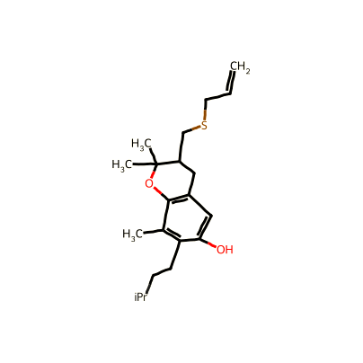 C=CCSCC1Cc2cc(O)c(CCC(C)C)c(C)c2OC1(C)C